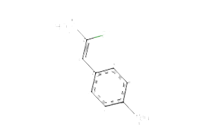 CC(C)(C)c1ccc(C=C(F)C(=O)O)cc1